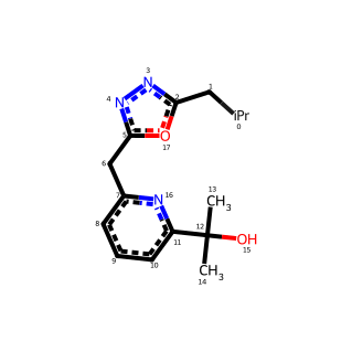 CC(C)Cc1nnc(Cc2cccc(C(C)(C)O)n2)o1